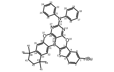 CC(C)(C)c1ccc2sc3c(c2c1)Oc1nc(N(c2ccccc2)c2ccccc2)nc2c1B3c1cc3c(cc1O2)C(C)(C)CCC3(C)C